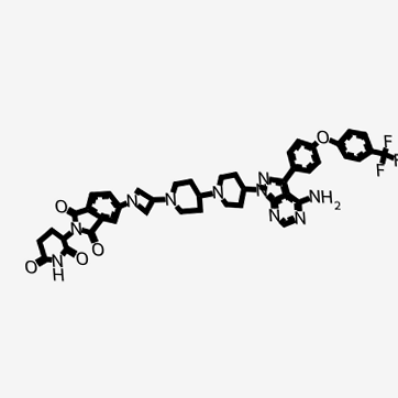 Nc1ncnc2c1c(-c1ccc(Oc3ccc(C(F)(F)F)cc3)cc1)nn2C1CCN(C2CCN(C3CN(c4ccc5c(c4)C(=O)N(C4CCC(=O)NC4=O)C5=O)C3)CC2)CC1